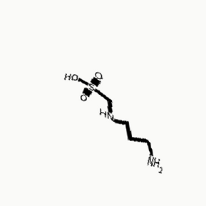 NCCCNCS(=O)(=O)O